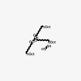 CCCCCCCC/C=C\CCCCCCCC(=O)OCC(COC(=O)CCCCCCC/C=C\CCCCCCCC)OC(=O)CCCCCCC/C=C\CCCCCCCC.SCCS